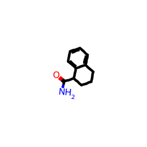 NC(=O)C1CCCc2ccccc21